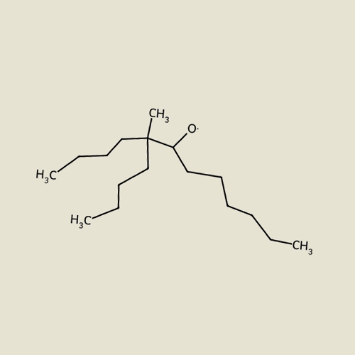 CCCCCCC([O])C(C)(CCCC)CCCC